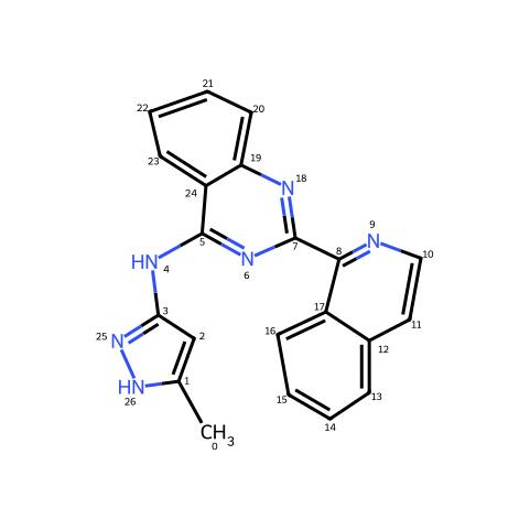 Cc1cc(Nc2nc(-c3nccc4ccccc34)nc3ccccc23)n[nH]1